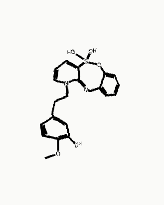 COc1ccc(CCN2C=CC=C3C2=Nc2ccccc2OS3(O)O)cc1O